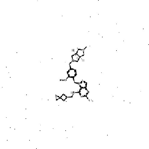 COc1cc(CN2C[C@H]3CN(C)C[C@H]3C2)ccc1Cn1ncc2nc(N)nc(NCC3CC4(CC4)C3)c21